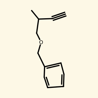 C#CC(C)COCc1ccccc1